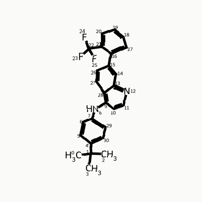 CC(C)(C)c1ccc(Nc2ccnc3cc(-c4ccccc4C(F)(F)F)ccc23)cc1